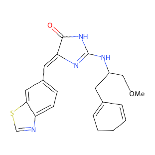 COCC(CC1=CCCC=C1)NC1=N/C(=C\c2ccc3ncsc3c2)C(=O)N1